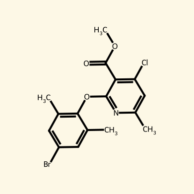 COC(=O)c1c(Cl)cc(C)nc1Oc1c(C)cc(Br)cc1C